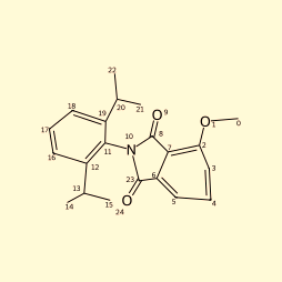 COc1cccc2c1C(=O)N(c1c(C(C)C)cccc1C(C)C)C2=O